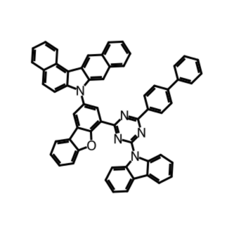 c1ccc(-c2ccc(-c3nc(-c4cc(-n5c6cc7ccccc7cc6c6c7ccccc7ccc65)cc5c4oc4ccccc45)nc(-n4c5ccccc5c5ccccc54)n3)cc2)cc1